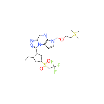 CCC1CC(S(=O)(=O)CC(F)(F)F)CC1c1nnc2cnc3c(ccn3COCCS(C)(C)C)n12